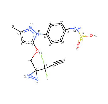 C#CC(F)(F)C1(COc2cc(C)nn2-c2ccc(N[SH](=O)=O)cc2)N=N1